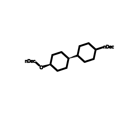 CCCCCCCCCCO[C@H]1CC[C@H](C2CCC(CCCCCCCCCC)CC2)CC1